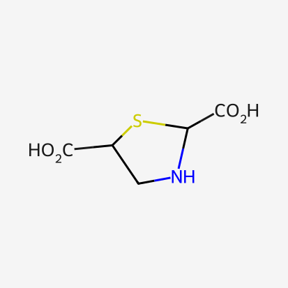 O=C(O)C1CNC(C(=O)O)S1